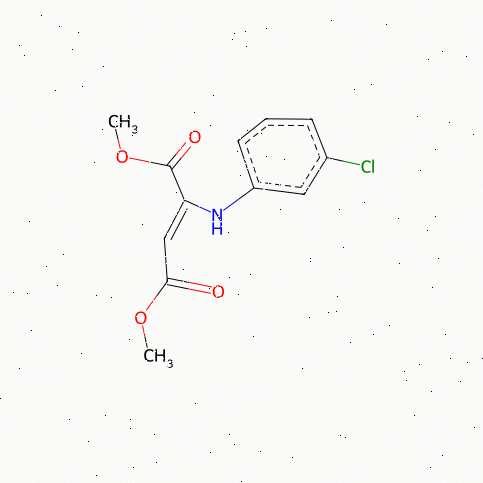 COC(=O)/C=C(\Nc1cccc(Cl)c1)C(=O)OC